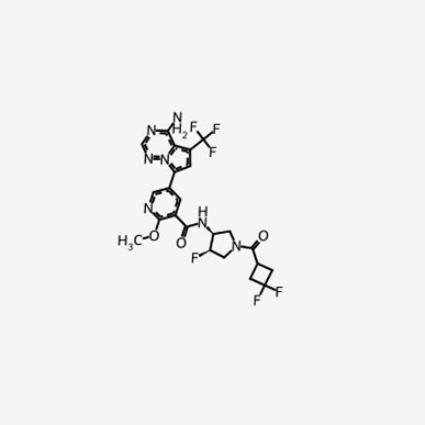 COc1ncc(-c2cc(C(F)(F)F)c3c(N)ncnn23)cc1C(=O)N[C@H]1CN(C(=O)C2CC(F)(F)C2)C[C@H]1F